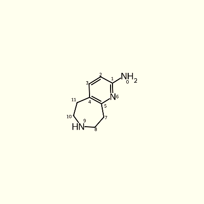 Nc1ccc2c(n1)CCNCC2